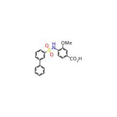 COc1cc(C(=O)O)ccc1NS(=O)(=O)c1cccc(-c2ccccc2)c1